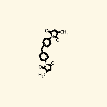 CC1=CC(=O)N(c2ccc(Cc3ccc(N4C(=O)C=C(C)C4=O)cc3)cc2)C1=O